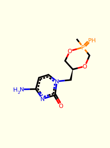 CP1(=P)CO[C@@H](Cn2ccc(N)nc2=O)CO1